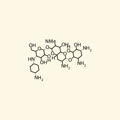 CNC1C(O[C@H]2OC(CO)[C@@H](N[C@H]3CC[C@@H](N)CC3)C(O)C2O)O[C@H]2CC(N)[C@@H](O[C@@H]3C(N)C[C@@H](N)C(O)C3O)OC2C1O